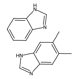 Cc1cc2nc[nH]c2cc1C.c1ccc2[nH]cnc2c1